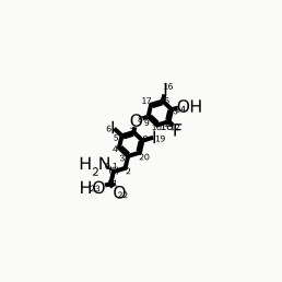 N[C@@H](Cc1cc(I)c(Oc2cc([18F])c(O)c(I)c2)c(I)c1)C(=O)O